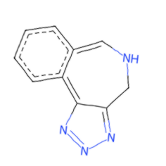 C1=c2ccccc2=C2N=NN=C2CN1